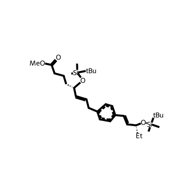 CC[C@H](/C=C/c1ccc(C/C=C/[C@H](CCCC(=O)OC)O[Si](C)(C)C(C)(C)C)cc1)O[Si](C)(C)C(C)(C)C